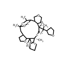 CC1CC2(C)CC3CCOC3C(C)(C)[C@](C)([C@@H]3CCCO3)CC[C@@](C)(C(C)(C)C3CCOC3)C3CCOCC3C1CO2